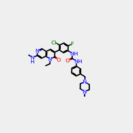 CCn1c(=O)c(-c2cc(NC(=O)Nc3cccc(CN4CCN(C)CC4)c3)c(F)cc2Cl)cc2cnc(NC)cc21